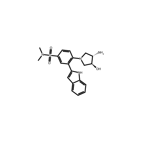 CN(C)S(=O)(=O)c1ccc(N2C[C@H](N)[C@@H](O)C2)c(-c2cc3ccccc3[nH]2)c1